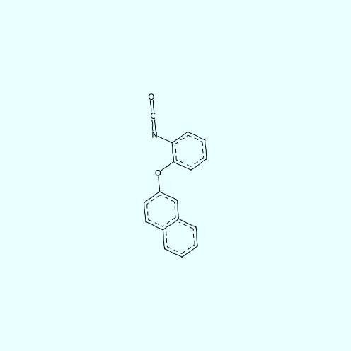 O=C=Nc1ccccc1Oc1ccc2ccccc2c1